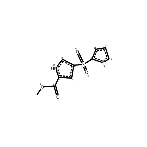 COC(=O)c1cc(S(=O)(=O)c2cccs2)c[nH]1